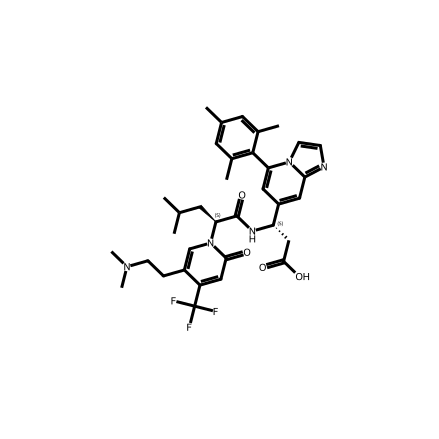 Cc1cc(C)c(-c2cc([C@H](CC(=O)O)NC(=O)[C@H](CC(C)C)n3cc(CCN(C)C)c(C(F)(F)F)cc3=O)cc3nccn23)c(C)c1